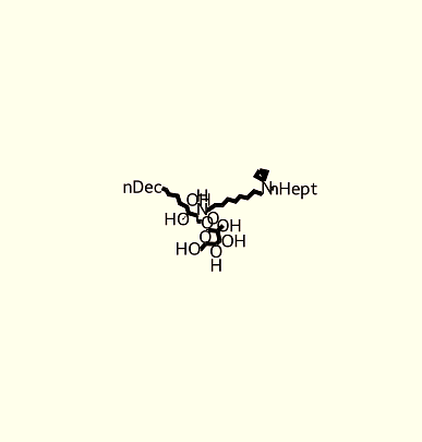 CCCCCCCCCCCCCC[C@@H](O)[C@@H](O)[C@H](COC1OC(CO)C(O)C(O)C1O)NC(=O)CCCCCCCCN(CCCCCCC)C12CC(C1)C2